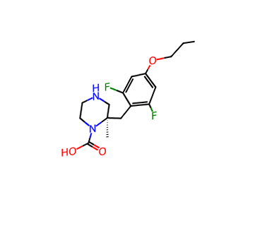 CCCOc1cc(F)c(C[C@]2(C)CNCCN2C(=O)O)c(F)c1